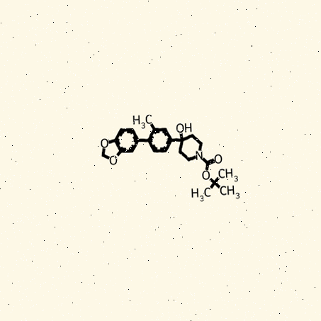 Cc1cc(C2(O)CCN(C(=O)OC(C)(C)C)CC2)ccc1-c1ccc2c(c1)OCO2